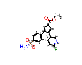 COC(=O)C1C=C(c2ccc(S(N)(=O)=O)cc2)C(c2ccc(F)nc2)=C1